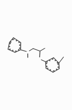 CCC(CN(CC)c1ccccc1)Oc1cccc(C)c1